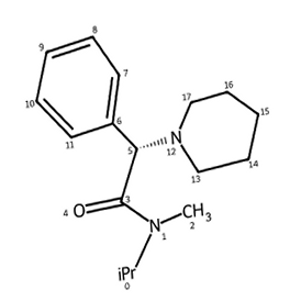 CC(C)N(C)C(=O)[C@H](c1ccccc1)N1CCCCC1